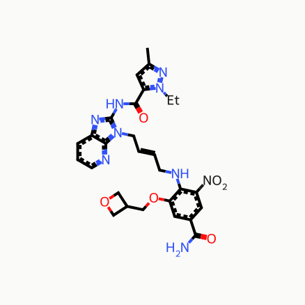 CCn1nc(C)cc1C(=O)Nc1nc2cccnc2n1CC=CCNc1c(OCC2COC2)cc(C(N)=O)cc1[N+](=O)[O-]